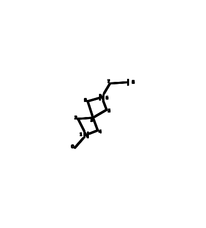 CN1CC2(C1)CN(CI)C2